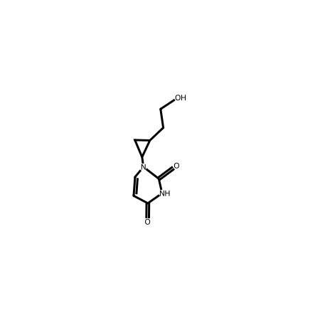 O=c1ccn(C2CC2CCO)c(=O)[nH]1